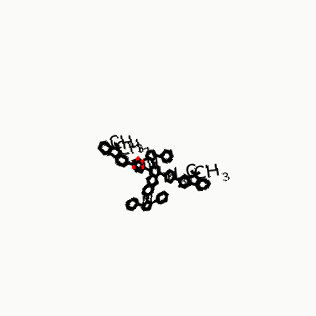 CC1(C)c2ccccc2-c2ccc(-c3ccc(-c4cc(N5C(c6ccccc6)=CCC5c5ccccc5)c(-c5ccc(-c6ccc7c(c6)C(C)(C)c6ccccc6-7)cc5)c5cc6ccc(-n7c(-c8ccccc8)ccc7-c7ccccc7)cc6cc45)cc3)cc21